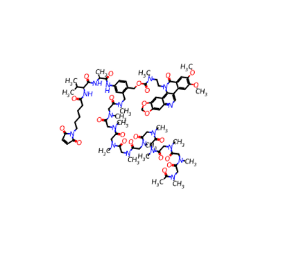 COc1cc2c(=O)n(CCN(C)C(=O)OCc3ccc(NC(=O)[C@H](C)NC(=O)[C@@H](NC(=O)CCCCCN4C(=O)C=CC4=O)C(C)C)cc3CN(C)C(=O)CN(C)C(=O)CN(C)C(=O)CN(C)C(=O)CN(C)C(=O)CN(C)C(=O)CN(C)C(=O)CN(C)C(=O)CN(C)C(=O)CN(C)C(=O)CN(C)C(C)=O)c3c4cc5c(cc4ncc3c2cc1OC)OCO5